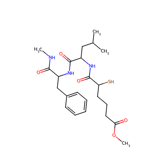 CNC(=O)C(Cc1ccccc1)NC(=O)C(CC(C)C)NC(=O)C(S)CCCC(=O)OC